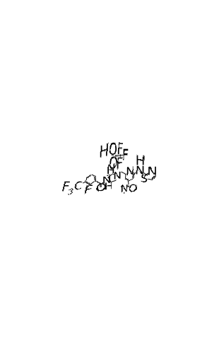 CN(C)C(=O)c1cc(CN2C[C@@H]3C[C@H]2CN3C(=O)c2cccc(C(F)(F)F)c2F)nc(Nc2nccs2)c1.O=C(O)C(F)(F)F